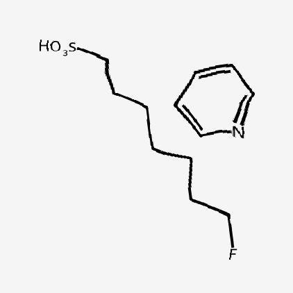 O=S(=O)(O)CCCCCCCF.c1ccncc1